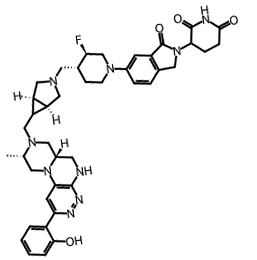 C[C@H]1CN2c3cc(-c4ccccc4O)nnc3NC[C@H]2CN1CC1[C@H]2CN(C[C@H]3CCN(c4ccc5c(c4)C(=O)N(C4CCC(=O)NC4=O)C5)C[C@@H]3F)C[C@@H]12